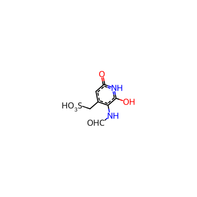 O=CNc1c(CS(=O)(=O)O)cc(=O)[nH]c1O